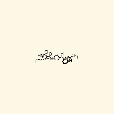 O=C(NC1CCC(Nc2cccc3nc(C(F)(F)F)cn23)CC1)C1=CN(CCF)NC1Cl